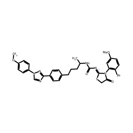 COc1ccc(C(C)C)c(N2C(=O)CS/C2=N\C(=O)NC(C)CCCc2ccc(-c3ncn(-c4ccc(OC(F)(F)F)cc4)n3)cc2)c1